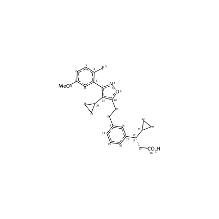 COc1ccc(F)c(-c2noc(CCc3cccc([C@@H](CC(=O)O)C4CC4)c3)c2C2CC2)c1